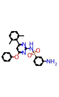 Cc1cccc(C)c1-c1cc(Oc2ccccc2)nc(NS(=O)(=O)c2cccc(N)c2)n1